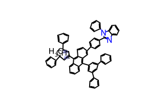 C=C(/C=C(\C=C(/C)c1ccccc1)c1c2ccccc2c(-c2cc(-c3ccccc3)cc(-c3ccccc3)c2)c2cc(-c3ccc(-c4nc5ccccc5n4-c4ccccc4)cc3)ccc12)c1ccccc1